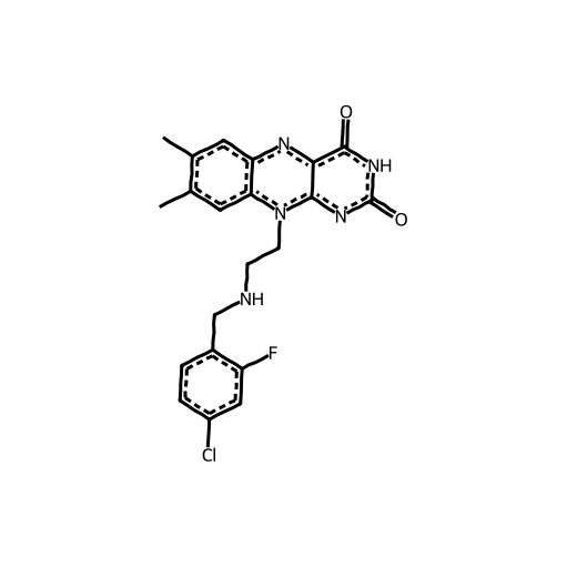 Cc1cc2nc3c(=O)[nH]c(=O)nc-3n(CCNCc3ccc(Cl)cc3F)c2cc1C